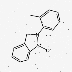 Cc1ccccc1N1Cc2ccccc2[S+]1[O-]